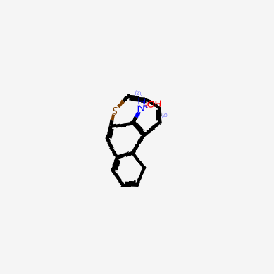 ONC1C2=CC3=CC=CCC3C1/C=C\C=C/S2